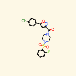 O=C(c1cc(-c2ccc(Cl)cc2)on1)N1CCN(S(=O)(=O)c2ccccc2F)CC1